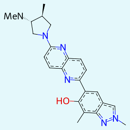 CN[C@H]1CN(c2ccc3nc(-c4cc5cn(C)nc5c(C)c4O)ccc3n2)C[C@@H]1C